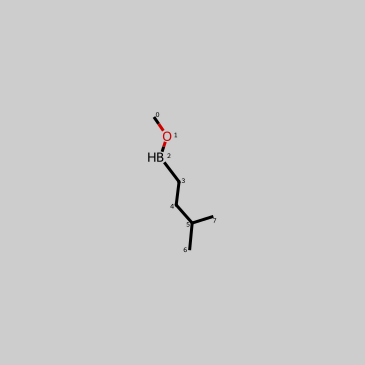 COBCCC(C)C